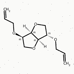 C=CCO[C@H]1CO[C@H]2[C@@H]1OC[C@H]2OCC=C